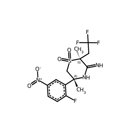 C[C@]1(CC(F)(F)F)C(=N)N[C@](C)(c2cc([N+](=O)[O-])ccc2F)CS1(=O)=O